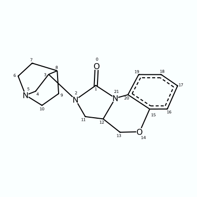 O=C1N(C2CN3CCC2CC3)CC2COc3ccccc3N12